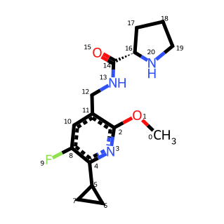 COc1nc(C2CC2)c(F)cc1CNC(=O)[C@@H]1CCCN1